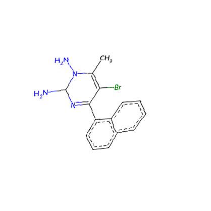 CC1=C(Br)C(c2cccc3ccccc23)=NC(N)N1N